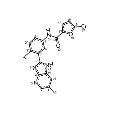 Cc1cnc2nc(-c3cc(NC(=O)c4ccc(Cl)o4)ccc3C)[nH]c2c1